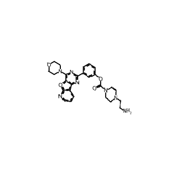 NCCN1CCN(C(=O)Oc2cccc(-c3nc(N4CCOCC4)c4oc5ncccc5c4n3)c2)CC1